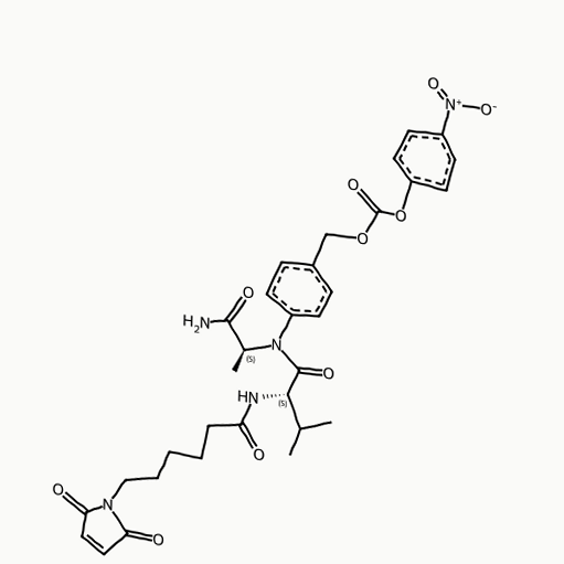 CC(C)[C@H](NC(=O)CCCCCN1C(=O)C=CC1=O)C(=O)N(c1ccc(COC(=O)Oc2ccc([N+](=O)[O-])cc2)cc1)[C@@H](C)C(N)=O